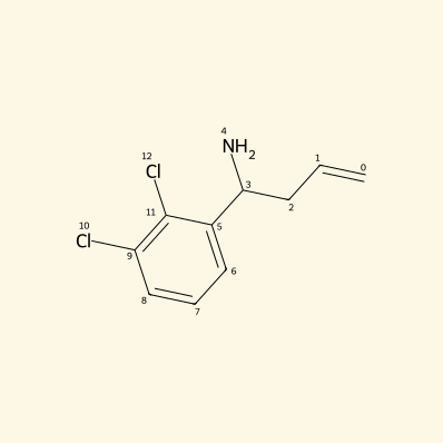 C=CCC(N)c1cccc(Cl)c1Cl